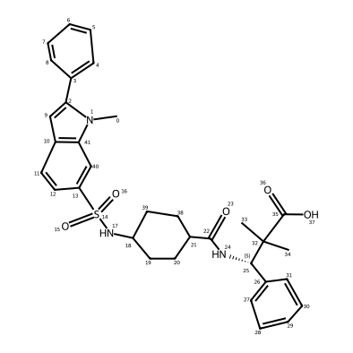 Cn1c(-c2ccccc2)cc2ccc(S(=O)(=O)NC3CCC(C(=O)N[C@@H](c4ccccc4)C(C)(C)C(=O)O)CC3)cc21